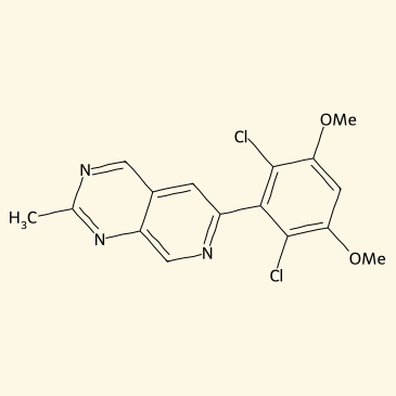 COc1cc(OC)c(Cl)c(-c2cc3cnc(C)nc3cn2)c1Cl